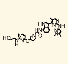 Cc1cnc(Nc2cc(C)n(C)n2)nc1-c1c[nH]c2c(NC(=O)CN3CCC(Oc4ccnc(NCCO)n4)C3)cccc12